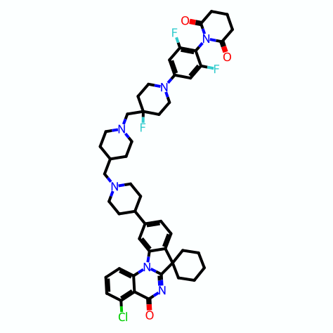 O=C1CCCC(=O)N1c1c(F)cc(N2CCC(F)(CN3CCC(CN4CCC(c5ccc6c(c5)-n5c(nc(=O)c7c(Cl)cccc75)C65CCCCC5)CC4)CC3)CC2)cc1F